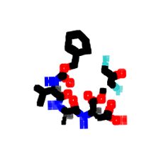 COC(=O)[C@H](CC(=O)O)NC(=O)[C@H](C)NC(=O)[C@@H](NC(=O)OCc1ccccc1)C(C)C.O=C(CF)CF